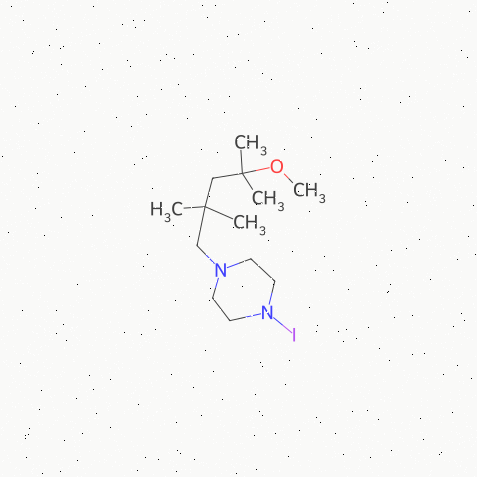 COC(C)(C)CC(C)(C)CN1CCN(I)CC1